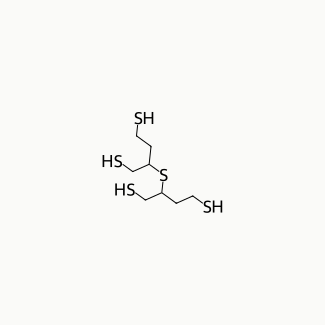 SCCC(CS)SC(CS)CCS